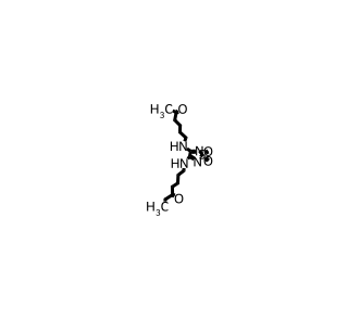 CCC(=O)CCCCNC1=NS(=O)(=O)N=C1NCCCCC(C)=O